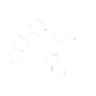 CC(C)(C)OC(=O)NC(COc1cnc(Cl)c(-c2ccc3cnccc3c2)c1)Cc1c[nH]c2ccccc12